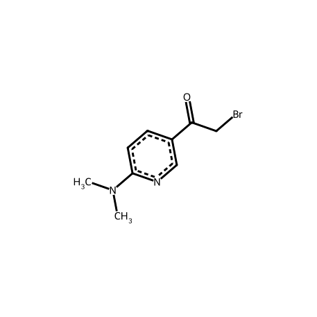 CN(C)c1ccc(C(=O)CBr)cn1